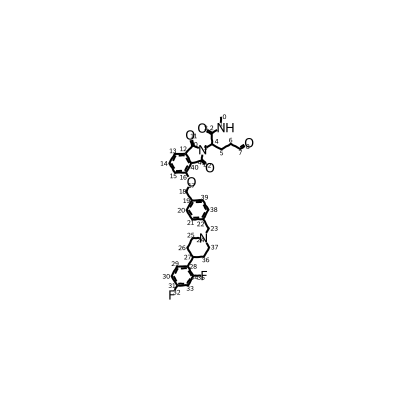 CNC(=O)C(CCC=O)N1C(=O)c2cccc(OCc3ccc(CN4CCC(c5ccc(F)cc5F)CC4)cc3)c2C1=O